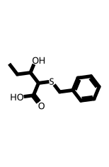 CCC(O)C(SCc1ccccc1)C(=O)O